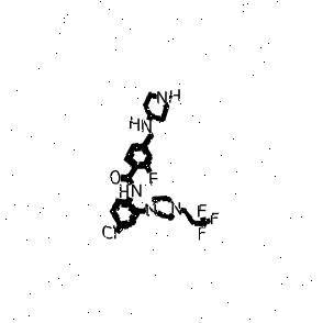 O=C(Nc1ccc(Cl)cc1N1CCN(CCC(F)(F)F)CC1)c1ccc(CNC2CCNCC2)cc1F